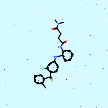 Cc1ccccc1C(=S)c1ccc(Nc2ccccc2NC(=O)CCC(=O)N(C)C)cc1Cl